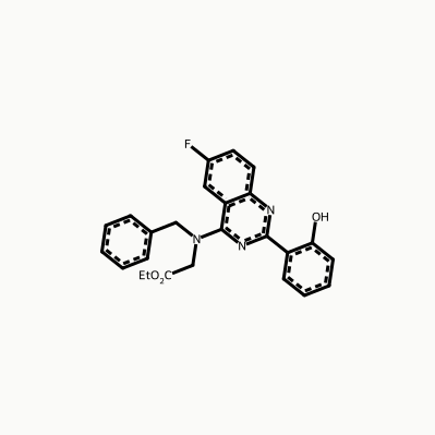 CCOC(=O)CN(Cc1ccccc1)c1nc(-c2ccccc2O)nc2ccc(F)cc12